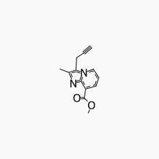 C#CCc1c(C)nc2c(C(=O)OC)cccn12